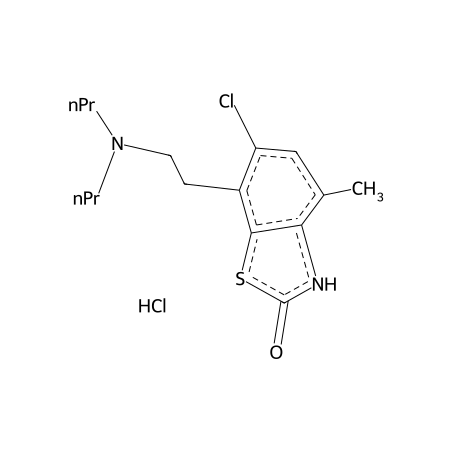 CCCN(CCC)CCc1c(Cl)cc(C)c2[nH]c(=O)sc12.Cl